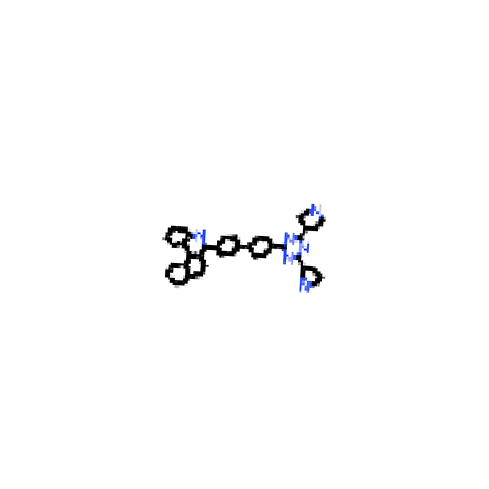 c1cncc(-c2nc(-c3ccncc3)nc(-c3ccc(-c4ccc(-c5nc6ccccc6c6c5ccc5ccccc56)cc4)cc3)n2)c1